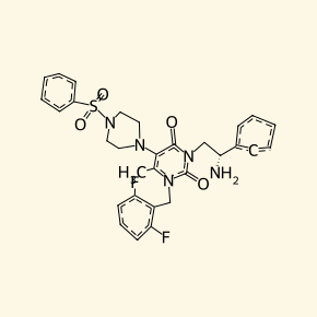 Cc1c(N2CCN(S(=O)(=O)c3ccccc3)CC2)c(=O)n(C[C@@H](N)c2ccccc2)c(=O)n1Cc1c(F)cccc1F